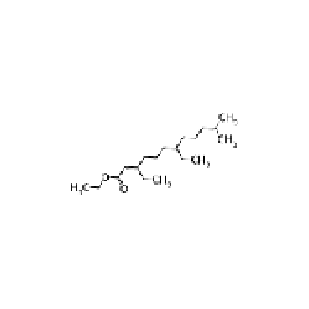 CCOC(=O)/C=C(\CC)CC/C=C(\CC)CCC=C(C)C